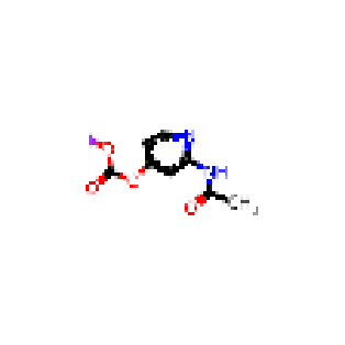 CC(=O)Nc1cc(OC(=O)OI)ccn1